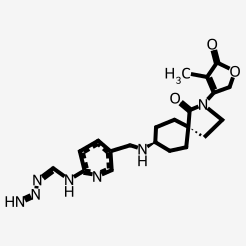 CC1=C(N2CC[C@]3(CC[C@H](NCc4ccc(N/C=N\N=N)nc4)CC3)C2=O)COC1=O